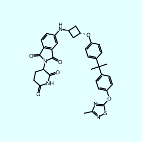 Cc1nsc(Oc2ccc(C(C)(C)c3ccc(O[C@H]4C[C@H](Nc5ccc6c(c5)C(=O)N(C5CCC(=O)NC5=O)C6=O)C4)cc3)cc2)n1